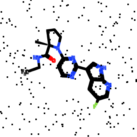 C[C@]1(C(=O)NCC(F)(F)F)CCCN1c1ccnc(-c2c[nH]c3ncc(F)cc23)n1